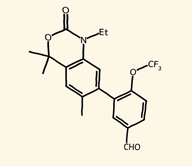 CCN1C(=O)OC(C)(C)c2cc(C)c(-c3cc(C=O)ccc3OC(F)(F)F)cc21